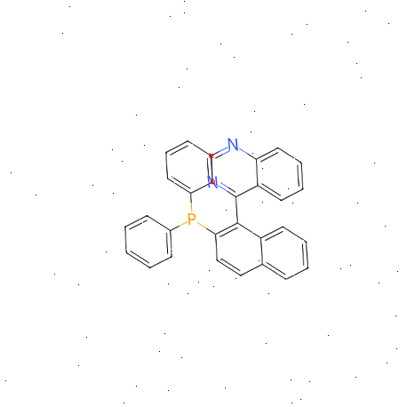 c1ccc(P(c2ccccc2)c2ccc3ccccc3c2-c2ncnc3ccccc23)cc1